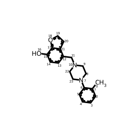 Cc1ccccc1N1CCN(Cc2ccc(O)c3occc23)CC1